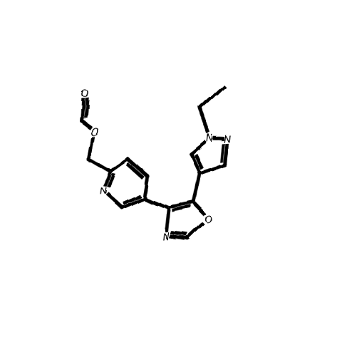 CCn1cc(-c2ocnc2-c2ccc(COC=O)nc2)cn1